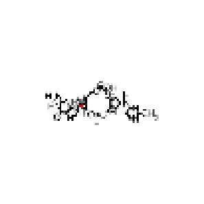 Cc1nccc(N[C@@H]2C[C@@H]3COPO[C@@H]4[C@H](O)[C@@H](COP(=O)(O)O[C@H]3C2)O[C@H]4n2cnc3c(=O)[nH]c(N)nc32)n1